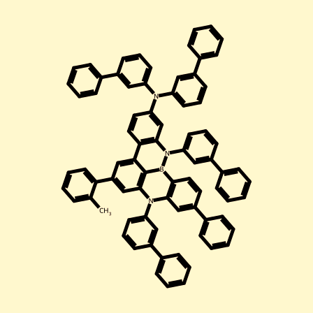 Cc1ccccc1-c1cc2c3c(c1)N(c1cccc(-c4ccccc4)c1)c1cc(-c4ccccc4)ccc1B3N(c1cccc(-c3ccccc3)c1)c1cc(N(c3cccc(-c4ccccc4)c3)c3cccc(-c4ccccc4)c3)ccc1-2